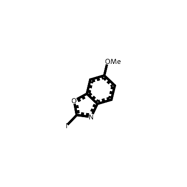 COc1ccc2nc(I)oc2c1